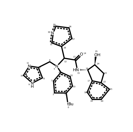 CC(C)(C)c1ccc(N(Cc2c[nH]cn2)C(C(=O)N[C@H]2c3ccccc3C[C@@H]2O)c2cccnc2)cc1